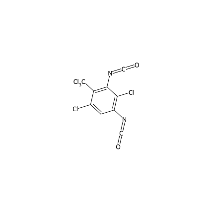 O=C=Nc1cc(Cl)c(C(Cl)(Cl)Cl)c(N=C=O)c1Cl